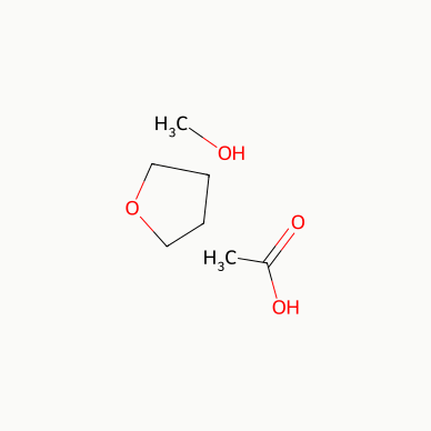 C1CCOC1.CC(=O)O.CO